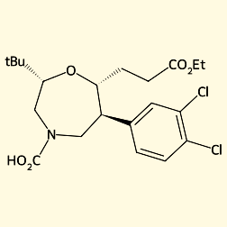 CCOC(=O)CC[C@H]1O[C@@H](C(C)(C)C)CN(C(=O)O)C[C@@H]1c1ccc(Cl)c(Cl)c1